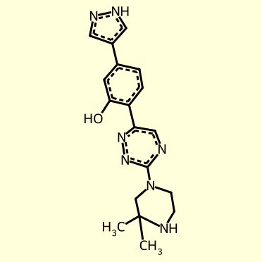 CC1(C)CN(c2ncc(-c3ccc(-c4cn[nH]c4)cc3O)nn2)CCN1